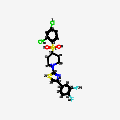 O=S(=O)(c1ccc(Cl)cc1Cl)C1CCN(c2nc(-c3ccc(F)c(F)c3)cs2)CC1